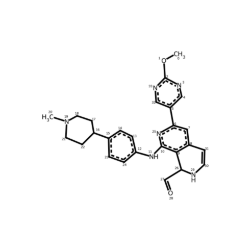 COc1ncc(-c2cc3c(c(Nc4ccc(C5CCN(C)CC5)cc4)n2)C(C=O)NC=C3)cn1